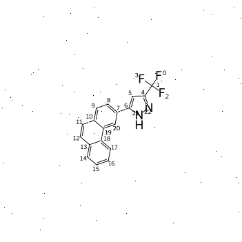 FC(F)(F)c1cc(-c2ccc3ccc4ccccc4c3c2)[nH]n1